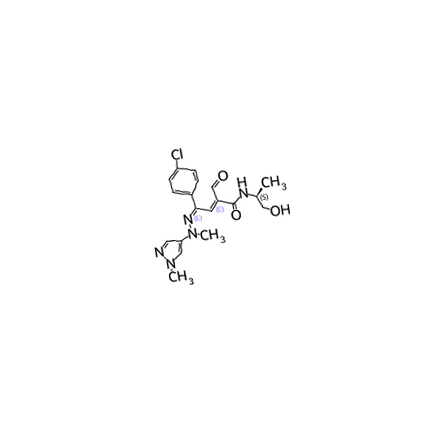 C[C@@H](CO)NC(=O)/C(C=O)=C/C(=N\N(C)c1cnn(C)c1)c1ccc(Cl)cc1